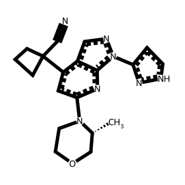 C[C@@H]1COCCN1c1cc(C2(C#N)CCC2)c2cnn(-c3cc[nH]n3)c2n1